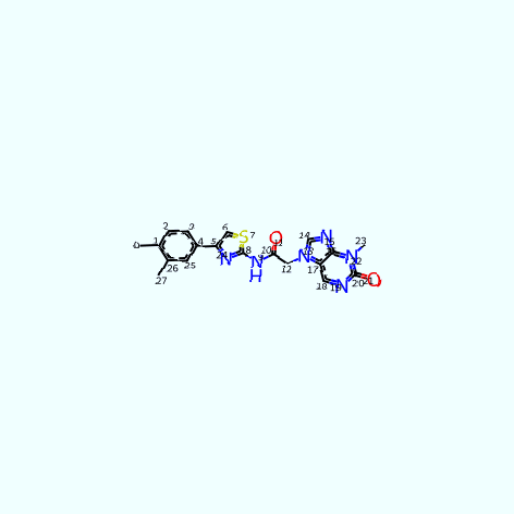 Cc1ccc(-c2csc(NC(=O)Cn3cnc4c3cnc(=O)n4C)n2)cc1C